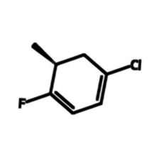 C[C@H]1CC(Cl)=CC=C1F